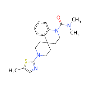 Cc1cnc(N2CCC3(CC2)CCN(C(=O)N(C)C)c2ccccc23)s1